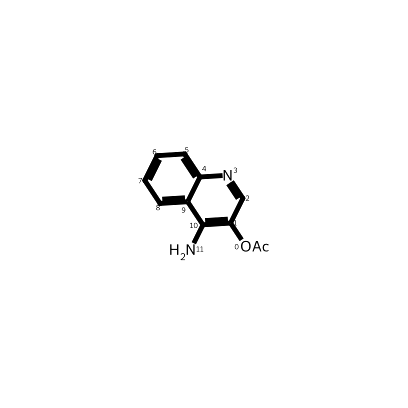 CC(=O)Oc1cnc2ccccc2c1N